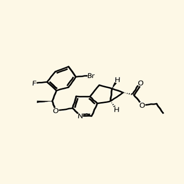 CCOC(=O)[C@H]1[C@H]2Cc3cc(O[C@@H](C)c4cc(Br)ccc4F)ncc3[C@@H]21